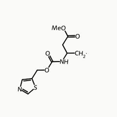 [CH2]C(CC(=O)OC)NC(=O)OCc1cncs1